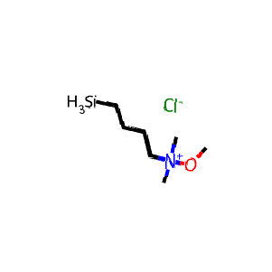 CO[N+](C)(C)CCCC[SiH3].[Cl-]